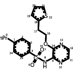 CCCc1ccc(S(=O)(=O)Nc2nccnc2OCCc2cccs2)cc1